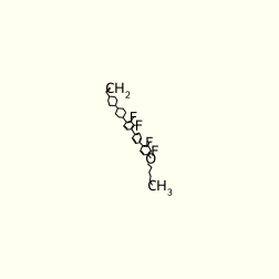 C=CC1CCC(C2CCC(c3ccc(-c4ccc(-c5ccc(OCCCCCC)c(F)c5F)cc4)c(F)c3F)CC2)CC1